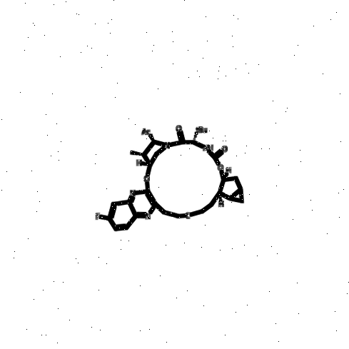 CC(=O)[C@@H]1[C@H](C)[C@@H]2CN1C(=O)[C@H](C(C)(C)C)NC(=O)O[C@@H]1CC3CC3[C@H]1CCCCCc1nc3ccc(F)cc3nc1O2